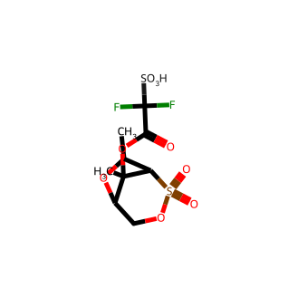 CC1OC2COS(=O)(=O)C1C2(C)OC(=O)C(F)(F)S(=O)(=O)O